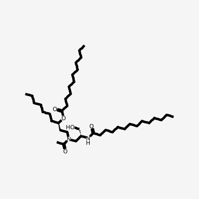 CCCCCCCCCCCCCC(=O)N[C@@H](CO)CN(CC[C@@H](CCCCCCC)OC(=O)CCCCCCCCCCC)C(C)=O